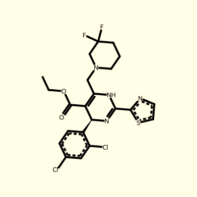 CCOC(=O)C1=C(CN2CCCC(F)(F)C2)NC(c2nccs2)=N[C@H]1c1ccc(Cl)cc1Cl